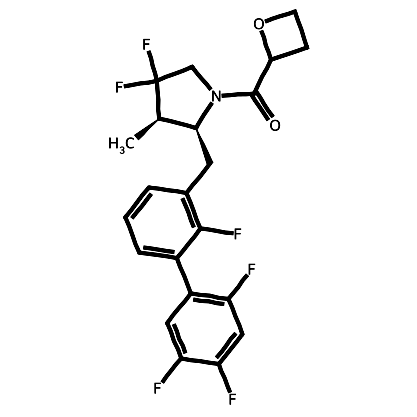 C[C@@H]1[C@H](Cc2cccc(-c3cc(F)c(F)cc3F)c2F)N(C(=O)C2CCO2)CC1(F)F